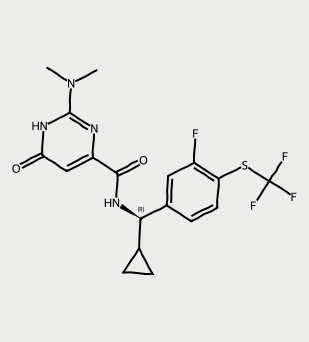 CN(C)c1nc(C(=O)N[C@@H](c2ccc(SC(F)(F)F)c(F)c2)C2CC2)cc(=O)[nH]1